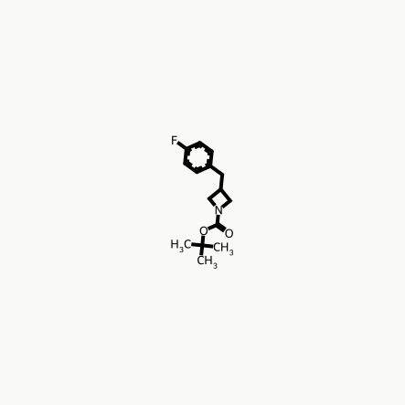 CC(C)(C)OC(=O)N1CC(Cc2ccc(F)cc2)C1